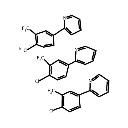 FC(F)(F)c1cc(-c2ccccn2)ccc1Cl.FC(F)(F)c1cc(-c2ccccn2)ccc1Cl.FC(F)(F)c1cc(-c2ccccn2)ccc1Cl.[Ir]